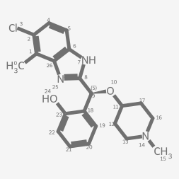 Cc1c(Cl)ccc2[nH]c([C@@H](OC3CCN(C)CC3)c3ccccc3O)nc12